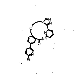 CCc1ccc(-c2ccc3c(c2)C(=O)Nc2cccc(n2)-c2nncn2CCCOC3)cn1